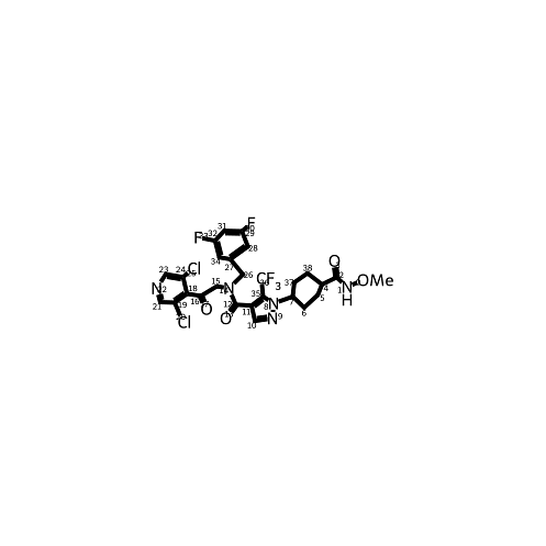 CONC(=O)C1CCC(n2ncc(C(=O)N(CC(=O)c3c(Cl)cncc3Cl)Cc3cc(F)cc(F)c3)c2C(F)(F)F)CC1